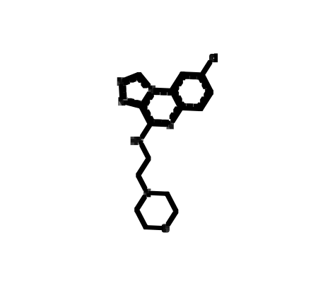 Clc1ccc2nc(NCCN3CCOCC3)c3nncn3c2c1